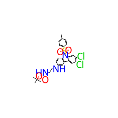 Cc1ccc(S(=O)(=O)n2c3ccc(NCCNC(=O)OC(C)(C)C)cc3c3cc(Cl)c(Cl)cc32)cc1